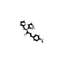 COc1ccc(C=CC(=O)N(Cc2cccs2)c2ccn[nH]2)cc1